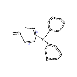 C=C/C=C\C(=C/C)P(c1ccccc1)c1ccccc1